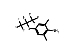 Cc1cc(SC(F)(C(F)(F)F)C(F)(F)F)cc(C)c1N